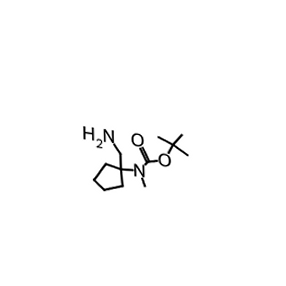 CN(C(=O)OC(C)(C)C)C1(CN)CCCC1